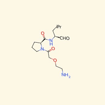 CC(C)C[C@@H](C=O)NC(=O)[C@@H]1CCCN1C(=O)COCCN